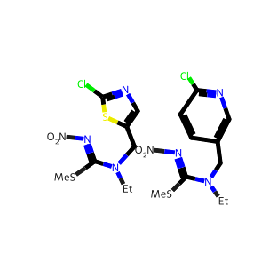 CCN(Cc1ccc(Cl)nc1)C(=N[N+](=O)[O-])SC.CCN(Cc1cnc(Cl)s1)C(=N[N+](=O)[O-])SC